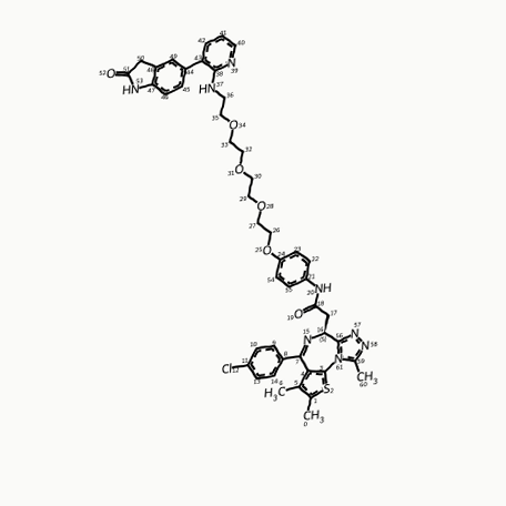 Cc1sc2c(c1C)C(c1ccc(Cl)cc1)=N[C@@H](CC(=O)Nc1ccc(OCCOCCOCCOCCNc3ncccc3-c3ccc4c(c3)CC(=O)N4)cc1)c1nnc(C)n1-2